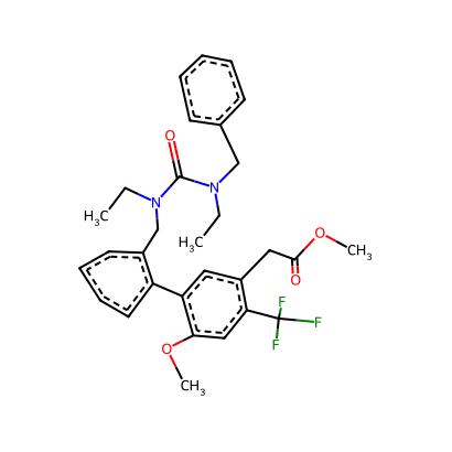 CCN(Cc1ccccc1)C(=O)N(CC)Cc1ccccc1-c1cc(CC(=O)OC)c(C(F)(F)F)cc1OC